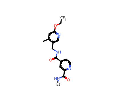 CCNC(=O)c1cc(C(=O)NCc2cnc(OCC(F)(F)F)cc2C)ccn1